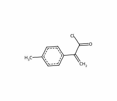 C=C(C(=O)Cl)c1ccc(C)cc1